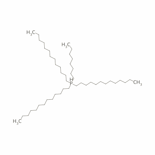 CCCCCCCCCCCCC[PH](CCCCCCCC)(CCCCCCCCCCCCC)CCCCCCCCCCCCC